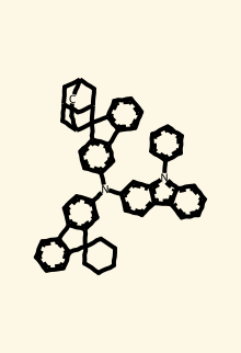 c1ccc(-n2c3ccccc3c3ccc(N(c4ccc5c(c4)-c4ccccc4C54C5CCC6CC(C5)CC4C6)c4ccc5c(c4)C4(CCCCC4)c4ccccc4-5)cc32)cc1